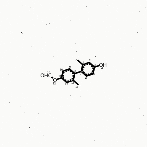 Cc1cc(O)ccc1-c1ccc(OC=O)cc1C